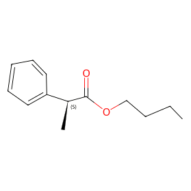 CCCCOC(=O)[C@@H](C)c1ccccc1